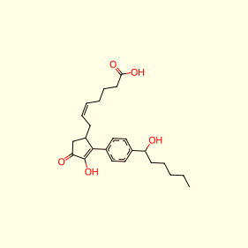 CCCCCC(O)c1ccc(C2=C(O)C(=O)CC2C/C=C\CCCC(=O)O)cc1